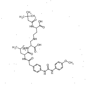 COc1ccc(NC(=O)Nc2ccc(CC(=O)NC(CC(C)C)C(=O)NC(CNCCC(NC(=O)CC(C)(C)C)C(=O)O)C(=O)O)cc2)cc1